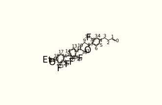 C=CCCc1ccc(C2CCC(c3ccc(-c4ccc(OCC)c(F)c4F)c(F)c3F)CO2)c(F)c1